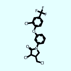 O=C1C(Cl)C(CCl)CN1c1cccc(Oc2ccc(C(F)(F)F)cc2Cl)c1